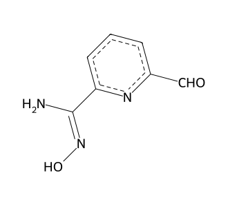 N/C(=N\O)c1cccc(C=O)n1